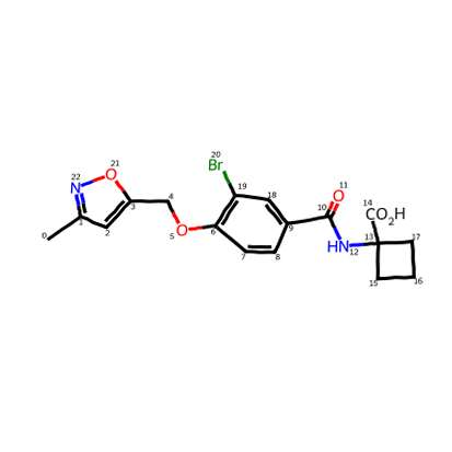 Cc1cc(COc2ccc(C(=O)NC3(C(=O)O)CCC3)cc2Br)on1